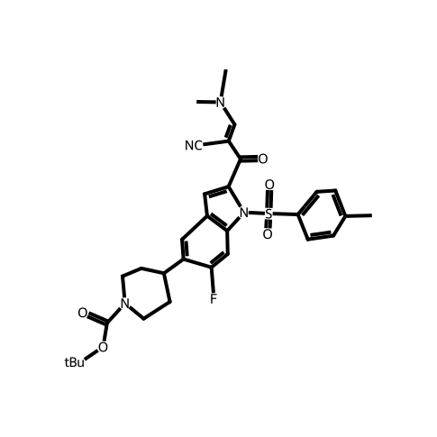 Cc1ccc(S(=O)(=O)n2c(C(=O)C(C#N)=CN(C)C)cc3cc(C4CCN(C(=O)OC(C)(C)C)CC4)c(F)cc32)cc1